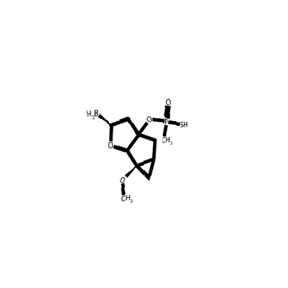 B[C@H]1CC2(OP(C)(=O)S)CC3C[C@]3(OC)C2O1